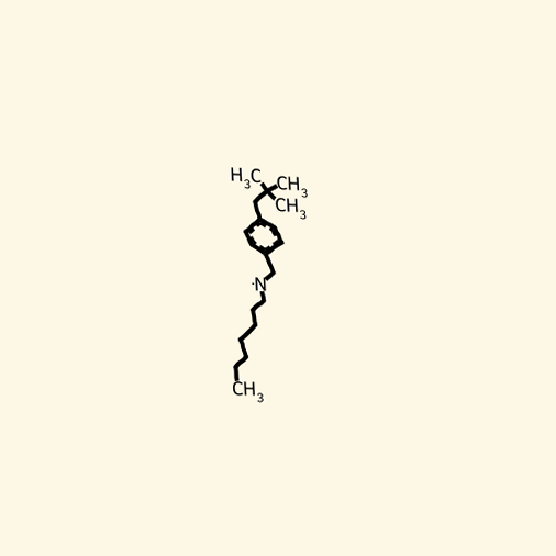 CCCCCCC[N]Cc1ccc(CC(C)(C)C)cc1